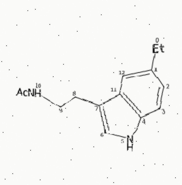 CCc1ccc2[nH]cc(CCNC(C)=O)c2c1